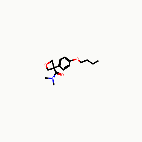 CCCCOc1ccc(C2(C(=O)N(C)C)COC2)cc1